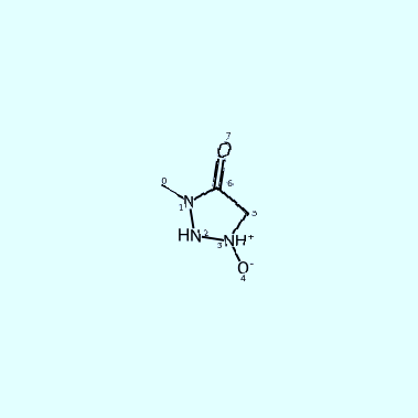 CN1N[NH+]([O-])CC1=O